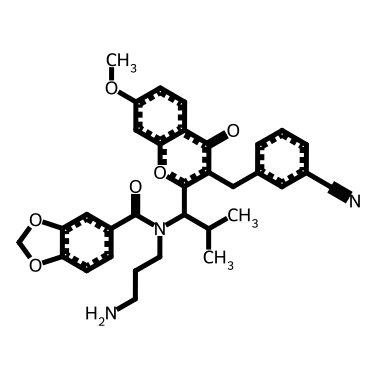 COc1ccc2c(=O)c(Cc3cccc(C#N)c3)c(C(C(C)C)N(CCCN)C(=O)c3ccc4c(c3)OCO4)oc2c1